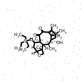 CC[Si](CC)(CC)OC1C[C@H]2OC[C@@]2(C)[C@H]2[C@H](C)[C@]3(O)C[C@H](C)C(C)=C(C(=O)C(=O)[C@]12C)C3(C)C